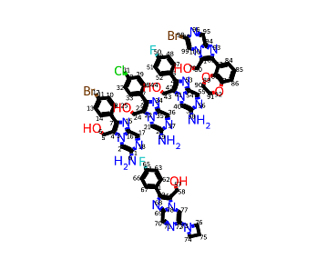 Nc1cn2c(CO)c(-c3ccc(Br)cc3)nc2cn1.Nc1cn2c(CO)c(-c3ccc(Cl)cc3)nc2cn1.Nc1cn2c(CO)c(-c3ccc(F)cc3)nc2cn1.OCc1c(-c2ccc(F)cc2)nc2cnc(N3CCC3)cn12.OCc1c(-c2cccc3c2OCCO3)nc2cnc(Br)cn12